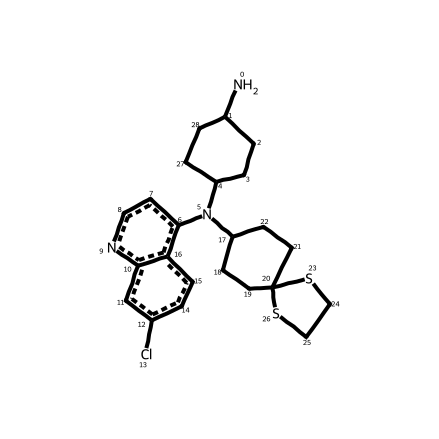 NC1CCC(N(c2ccnc3cc(Cl)ccc23)C2CCC3(CC2)SCCS3)CC1